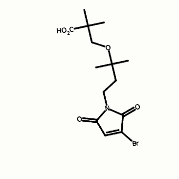 CC(C)(CCN1C(=O)C=C(Br)C1=O)OCC(C)(C)C(=O)O